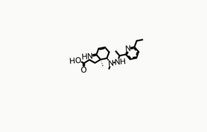 CCc1cccc(C(C)NN(C)[C@@H]2CC=CC(=N)[C@]2(C)CCC(=O)O)n1